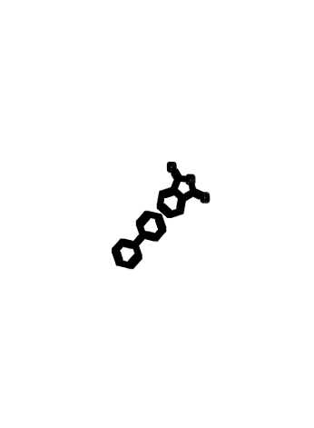 O=C1OC(=O)c2ccccc21.c1ccc(-c2ccccc2)cc1